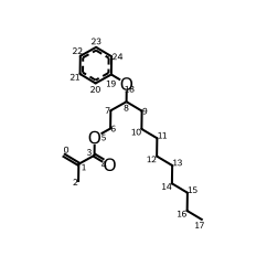 C=C(C)C(=O)OCCC(CCCCCCCCC)Oc1ccccc1